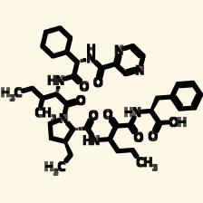 CCCC(NC(=O)[C@@H]1[C@@H](CC)CCN1C(=O)[C@@H](NC(=O)[C@@H](NC(=O)c1cnccn1)C1CCCCC1)C(C)CC)C(=O)C(=O)N[C@@H](Cc1ccccc1)C(=O)O